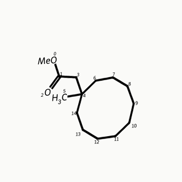 COC(=O)CC1(C)CCCCCCCCC1